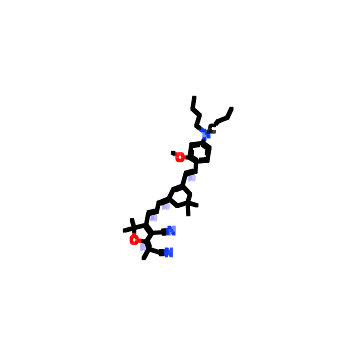 CCCCN(CCCC)c1ccc(/C=C/C2=CC(=C/C=C/C3=C(C#N)C(=C(/C)C#N)/OC3(C)C)/CC(C)(C)C2)c(OC)c1